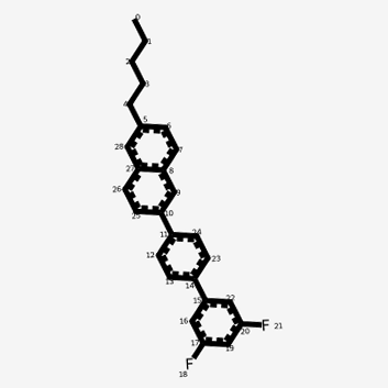 CCCCCc1ccc2cc(-c3ccc(-c4cc(F)cc(F)c4)cc3)ccc2c1